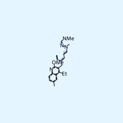 C=C/C(=C\C=C\N(C)/N=C\NC)Cc1c(OC)nc2ccc(C)cc2c1CC